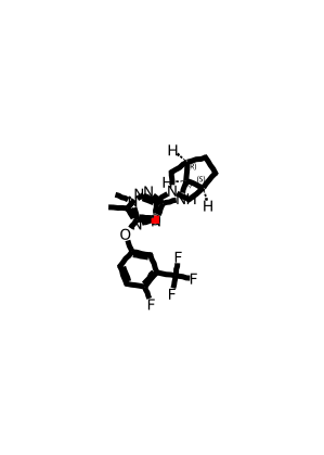 Cc1noc(N2C[C@H]3CC[C@@H](C2)[C@H]3Nc2nc(Oc3ccc(F)c(C(F)(F)F)c3)n(C)n2)n1